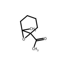 CC(=O)C12CCCCC1(C)O2